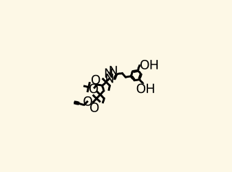 C#CCOC(=O)C(C)(C)C(C)(CC)CC(C(=O)OC(C)(C)C)C(C)(CC)n1cc(CCc2cc(CO)cc(CO)c2)nn1